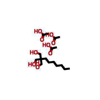 CC(=O)O.CC(=O)O.CC(=O)O.CCCCCCCC(CO)(CO)CO